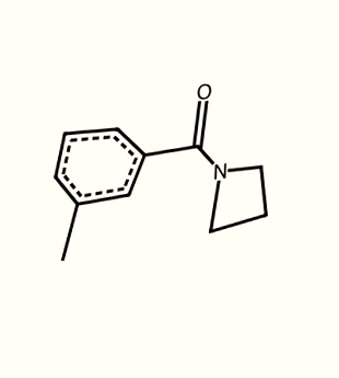 Cc1cccc(C(=O)N2CCC2)c1